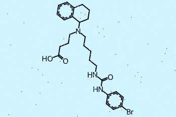 O=C(O)CCCN(CCCCCNC(=O)Nc1ccc(Br)cc1)C1CCCc2ccccc21